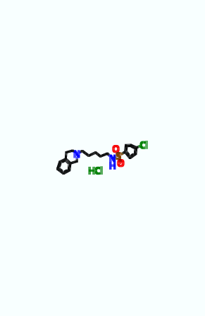 Cl.O=S(=O)(NCCCCCN1CCc2ccccc2C1)c1ccc(Cl)cc1